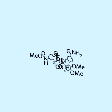 COC(=O)Nc1ccc(S(C)(=O)=O)c([C@@H](CC(=O)O)NC(=O)[C@H](Nc2cccc(C(N)=O)c2)c2ccc(OC)c(OC)c2)c1